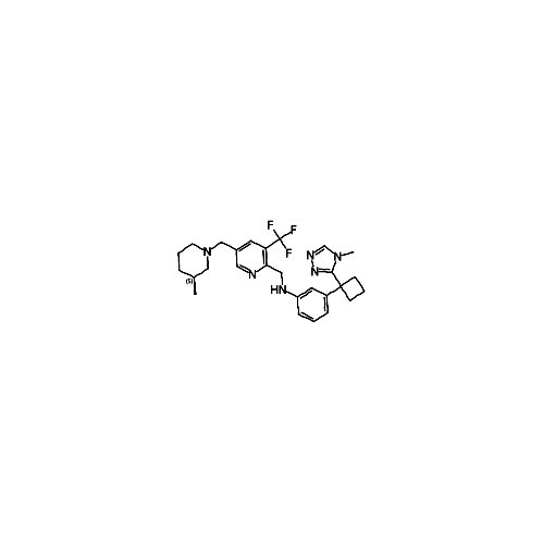 C[C@H]1CCCN(Cc2cnc(CNc3cccc(C4(c5nncn5C)CCC4)c3)c(C(F)(F)F)c2)C1